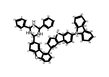 c1ccc(C2NC(c3ccccc3)NC(c3ccc4oc5cccc(-c6ccc7sc8cc(-n9c%10ccccc%10c%10ccccc%109)ccc8c7c6)c5c4c3)N2)cc1